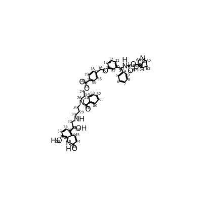 O=C(N[C@@H](c1ccccc1)c1cccc(OCc2ccc(C(=O)OCCCN(CCCNC[C@H](O)c3ccc(O)c4[nH]c(=O)ccc34)C(=O)c3ccccc3)cc2)c1)O[C@H]1CN2CCC1CC2